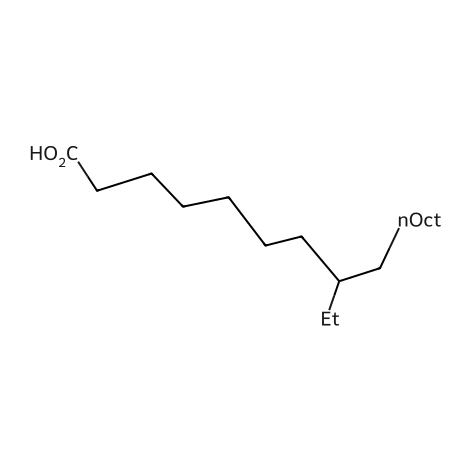 CCCCCCCCCC(CC)CCCCCCC(=O)O